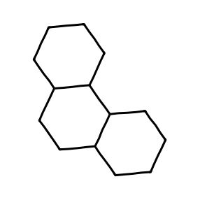 C1CCC2C(C1)CCC1CCCCC12